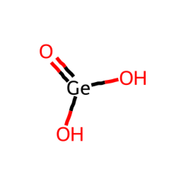 [O]=[Ge]([OH])[OH]